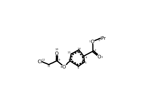 CC(C)OC(=O)c1ccc(OC(=O)CCl)cc1